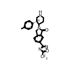 Cc1ccc([C@@H]2CNCCC2N2Cc3ccc(-c4noc(C(F)(F)F)n4)cc3C2=O)cc1